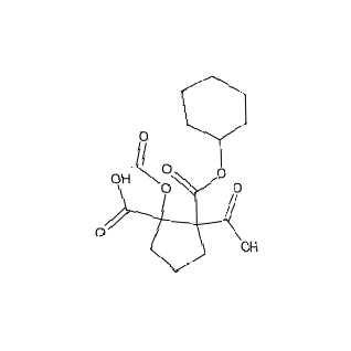 O=[C]OC1(C(=O)O)CCCC1(C(=O)O)C(=O)OC1CCCCC1